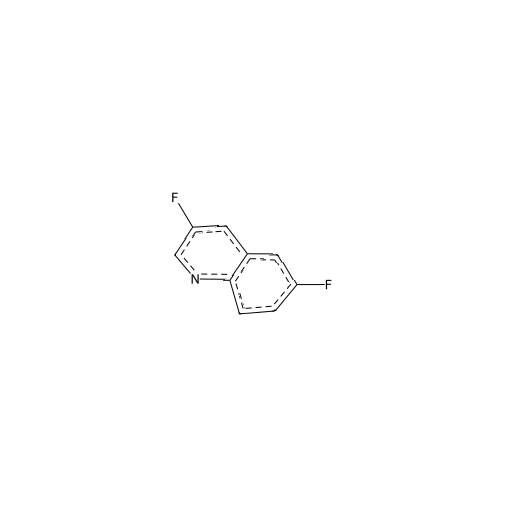 Fc1ccc2ncc(F)cc2c1